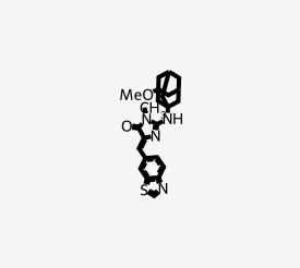 COC12CC3CC(CC(NC4=N/C(=C\c5ccc6ncsc6c5)C(=O)N4C)(C3)C1)C2